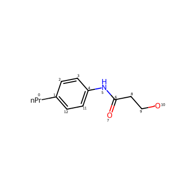 CCCc1ccc(NC(=O)CC[O])cc1